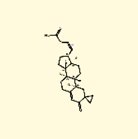 C[C@]12CC[C@H]3[C@@H](CCC4=CC(=O)C5(CC5)C[C@@H]43)[C@@H]1CC[C@H]2/C=C\OC(=O)O